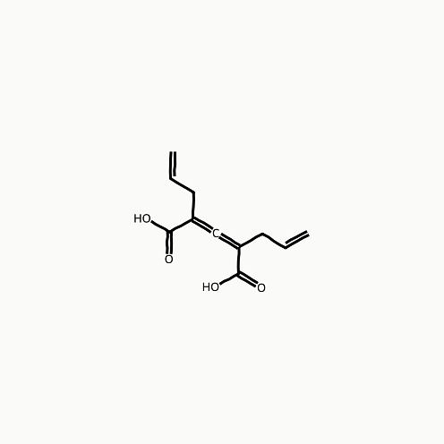 C=CCC(=C=C(CC=C)C(=O)O)C(=O)O